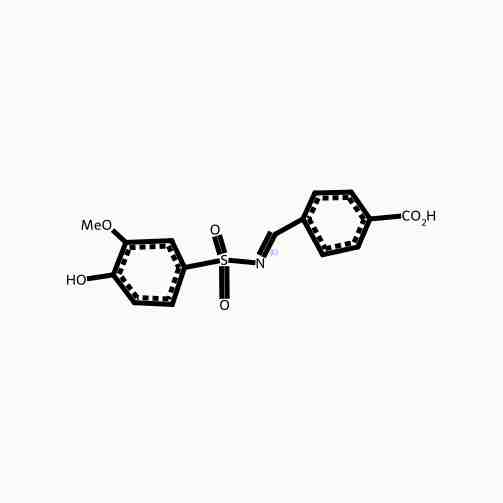 COc1cc(S(=O)(=O)/N=C/c2ccc(C(=O)O)cc2)ccc1O